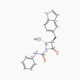 O=C(O)[C@@H]1[C@@H](Cc2ccc3occc3c2)C(=O)N1C(=O)Nc1ccccc1